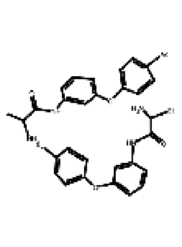 CC(=O)c1ccc(Oc2cccc(NC(=O)C(C)N)c2)cc1.CCC(N)C(=O)Nc1cccc(Oc2ccc(C(C)=O)cc2)c1